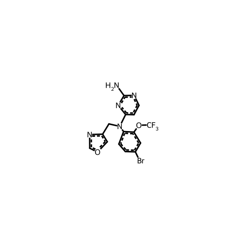 Nc1nccc(N(Cc2cocn2)c2ccc(Br)cc2OC(F)(F)F)n1